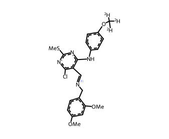 [2H]C([2H])([2H])Oc1ccc(Nc2nc(SC)nc(Cl)c2/C=N/Cc2ccc(OC)cc2OC)cc1